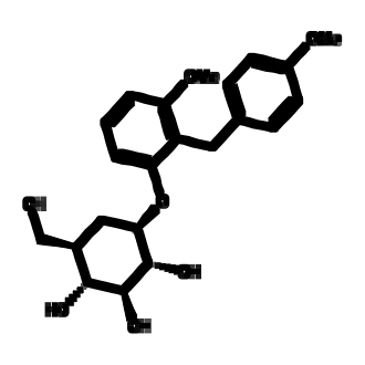 COc1ccc(Cc2c(OC)cccc2O[C@@H]2C[C@H](CO)[C@@H](O)[C@H](O)[C@H]2O)cc1